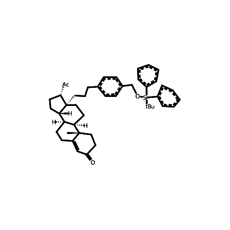 CC(=O)[C@H]1CC[C@H]2[C@@H]3CCC4=CC(=O)CC[C@@]4(C)[C@@H]3CC[C@]12CCCc1ccc(CO[Si](c2ccccc2)(c2ccccc2)C(C)(C)C)cc1